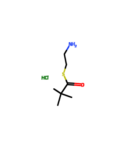 CC(C)(C)C(=O)SCCN.Cl